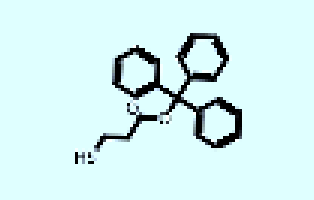 O=C(CCS)OC(c1ccccc1)(c1ccccc1)c1ccccc1